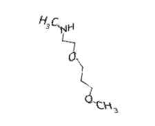 CNCCOCCCOC